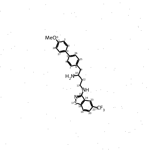 COc1ccc(-c2ccc(CC(N)CCNc3nsc4ccc(C(F)(F)F)cc34)cc2)cc1